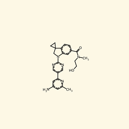 Cc1cc(N)cc(-c2cnc(N3CC4(CC4)c4ccc(C(=O)N(C)CCO)cc43)nc2)n1